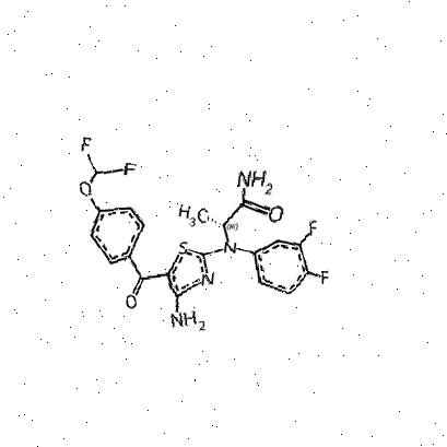 C[C@H](C(N)=O)N(c1ccc(F)c(F)c1)c1nc(N)c(C(=O)c2ccc(OC(F)F)cc2)s1